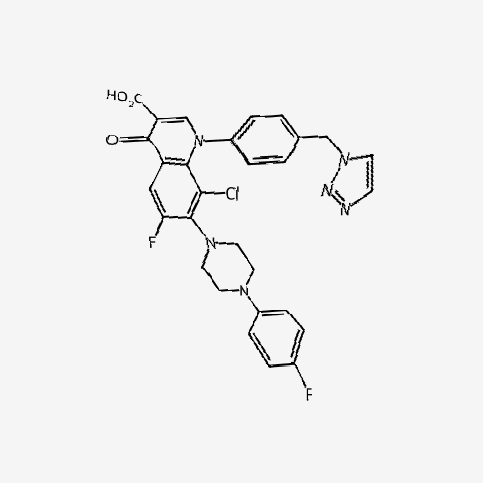 O=C(O)c1cn(-c2ccc(Cn3ccnn3)cc2)c2c(Cl)c(N3CCN(c4ccc(F)cc4)CC3)c(F)cc2c1=O